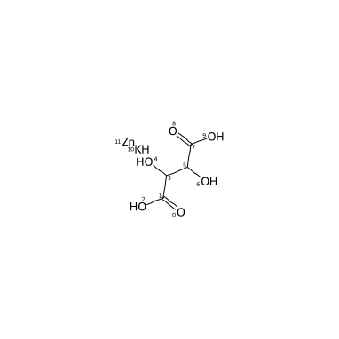 O=C(O)C(O)C(O)C(=O)O.[KH].[Zn]